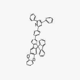 c1ccc(-c2cc(-c3ccccc3)nc(-c3ccc(-c4ccc5c(c4)C4(c6ccccc6-c6ccccc64)c4cc6c(cc4-5)Oc4ccccc4O6)cc3)c2)cc1